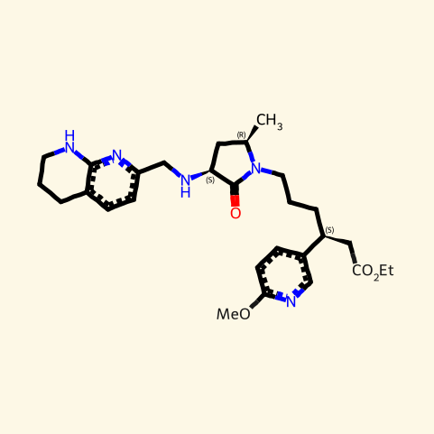 CCOC(=O)C[C@H](CCCN1C(=O)[C@@H](NCc2ccc3c(n2)NCCC3)C[C@H]1C)c1ccc(OC)nc1